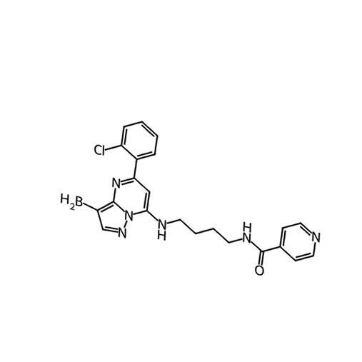 Bc1cnn2c(NCCCCNC(=O)c3ccncc3)cc(-c3ccccc3Cl)nc12